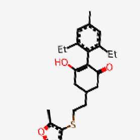 CCc1cc(C)cc(CC)c1C1=C(O)CC(CCSc2ccoc2C)CC1=O